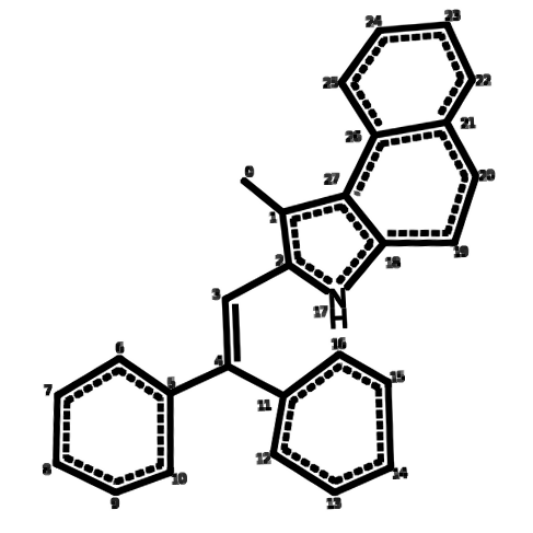 Cc1c(C=C(c2ccccc2)c2ccccc2)[nH]c2ccc3ccccc3c12